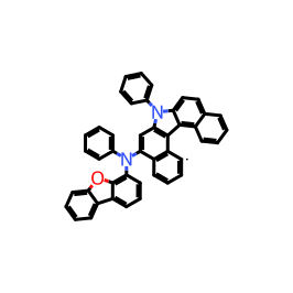 [c]1cccc2c(N(c3ccccc3)c3cccc4c3oc3ccccc34)cc3c(c12)c1c2ccccc2ccc1n3-c1ccccc1